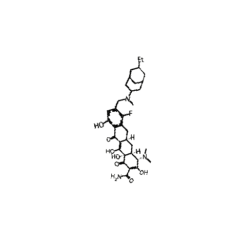 CCC1CC2CC(C1)CC(N(C)Cc1cc(O)c3c(c1F)C[C@H]1C[C@H]4[C@H](N(C)C)C(O)=C(C(N)=O)C(=O)[C@@]4(O)C(O)=C1C3=O)C2